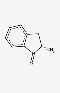 C[C@H]1Cc2ccccc2C1=O